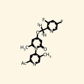 [2H]C([2H])(Oc1cc(C)n(-c2cc(C(C)=O)ncc2C)c(=O)c1)c1ncc(F)cc1F